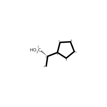 C[C@H](C(=O)O)C1CCCC1